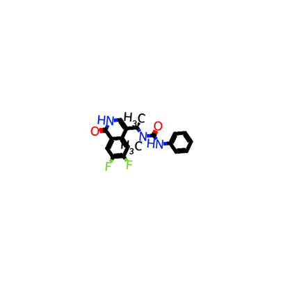 C[C@H](c1c[nH]c(=O)c2cc(F)c(F)cc12)N(C)C(=O)Nc1ccccc1